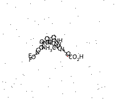 Cn1c(C(=O)Nc2cccc(-c3cccc(NC(=O)c4cc5c(cn4)CN(CCOC(F)F)CC5)c3Cl)c2Cl)nc2c1CCN(CCC13CCC(C(=O)O)(CC1)C3)C2